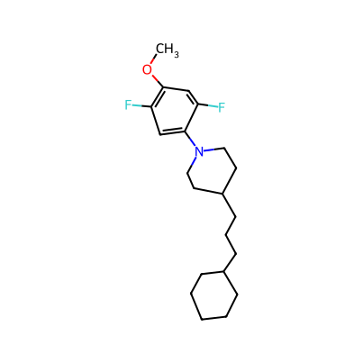 COc1cc(F)c(N2CCC(CCCC3CCCCC3)CC2)cc1F